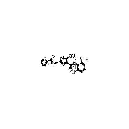 Cc1cccc(Cl)c1NC(=O)c1sc(NC(=O)c2cccs2)nc1C